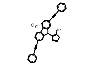 [Cl-].[Cl-].[Zr+2][C]1=C(C2c3cc(C#Cc4ccccc4)ccc3-c3ccc(C#Cc4ccccc4)cc32)C=CC1